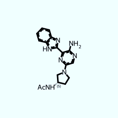 CC(=O)N[C@H]1CCN(c2cnc(N)c(-c3nc4ccccc4[nH]3)n2)C1